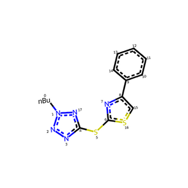 CCCCn1nnc(Sc2nc(-c3ccccc3)cs2)n1